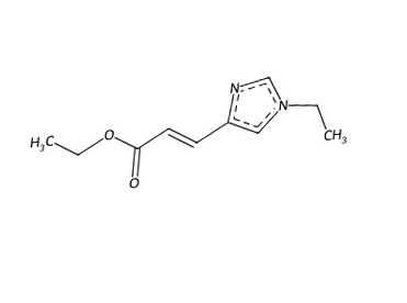 CCOC(=O)C=Cc1cn(CC)cn1